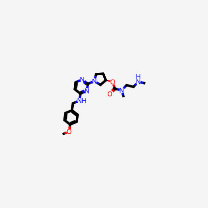 CNCCN(C)C(=O)O[C@@H]1CCN(c2nccc(NCc3ccc(OC)cc3)n2)C1